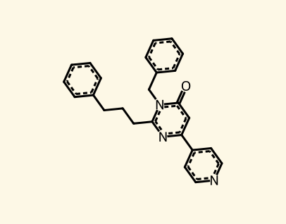 O=c1cc(-c2ccncc2)nc(CCCc2ccccc2)n1Cc1ccccc1